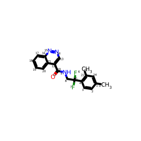 Cc1ccc(C(F)(F)CNC(=O)c2cnnc3ccccc23)c(C)c1